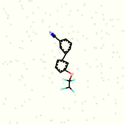 N#Cc1cccc(-c2cc[c]c(OC(F)(F)C(F)F)c2)c1